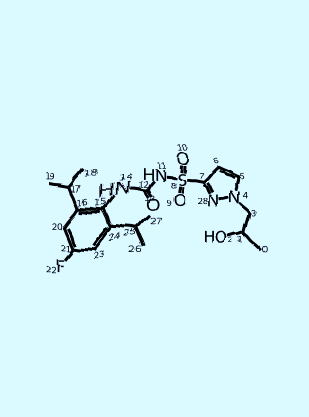 CC(O)Cn1ccc(S(=O)(=O)NC(=O)Nc2c(C(C)C)cc(F)cc2C(C)C)n1